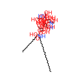 CCCCCCCCCCCCC/C=C/[C@@H](O)[C@H](CO[C@@H]1OC(CO)[C@@H](O[C@@H]2OC(CO)[C@H](O[C@@H]3OC(CO)[C@H](O)[C@H](O)C3NC(C)=O)[C@H](O[C@]3(C(=O)O)CC(O)[C@@H](NC(=O)CO)C([C@H](O)[C@H](O)CO)O3)C2O)[C@H](O)C1O)NC(=O)CCCCCCCCCCCCCCCCCCCCCCCCC